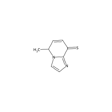 CC1C=CC(=S)c2nccn21